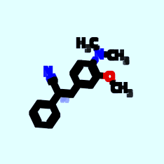 COc1cc(/C=C(\C#N)c2ccccc2)ccc1N(C)C